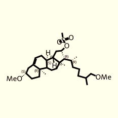 COCC(C)CCC[C@@H](C)[C@H]1C(OS(C)(=O)=O)C[C@H]2[C@@H]3CC=C4C[C@@H](OC)CC[C@]4(C)C3CC[C@]12C